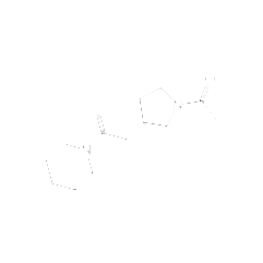 CC(=O)N1CCC(CC(=O)N2CCCCC2)C1